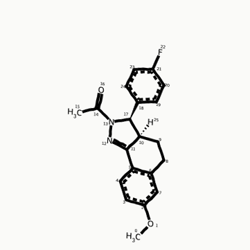 COc1ccc2c(c1)CC[C@H]1C2=NN(C(C)=O)[C@H]1c1ccc(F)cc1